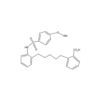 CCCCOc1ccc(S(=O)(=O)Nc2ccccc2CCCCCc2ccccc2C(=O)O)cc1